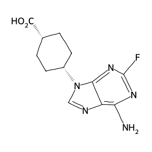 Nc1nc(F)nc2c1ncn2[C@H]1CC[C@@H](C(=O)O)CC1